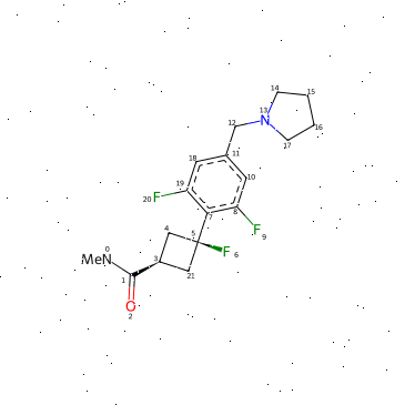 CNC(=O)[C@H]1C[C@](F)(c2c(F)cc(CN3CCCC3)cc2F)C1